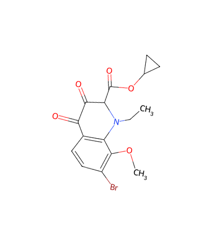 CCN1c2c(ccc(Br)c2OC)C(=O)C(=O)C1C(=O)OC1CC1